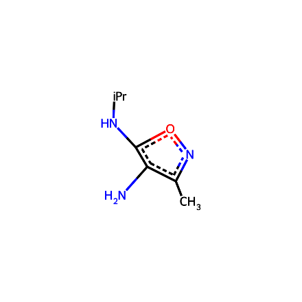 Cc1noc(NC(C)C)c1N